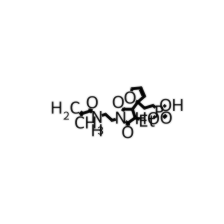 C=C(C)C(=O)NCCN1C(=O)C(CC)C(C2(CCP(=O)(O)O)C=CCO2)C1=O